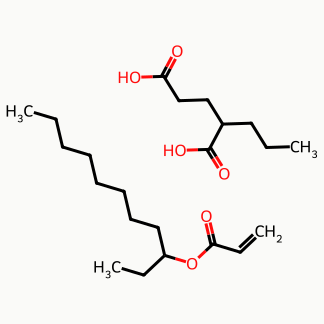 C=CC(=O)OC(CC)CCCCCCCC.CCCC(CCC(=O)O)C(=O)O